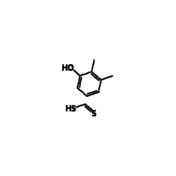 Cc1cccc(O)c1C.S=CS